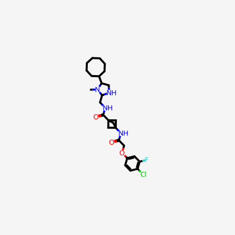 CN1C(CNC(=O)C23CC(NC(=O)COc4ccc(Cl)c(F)c4)(C2)C3)NCC1C1CCCCCCC1